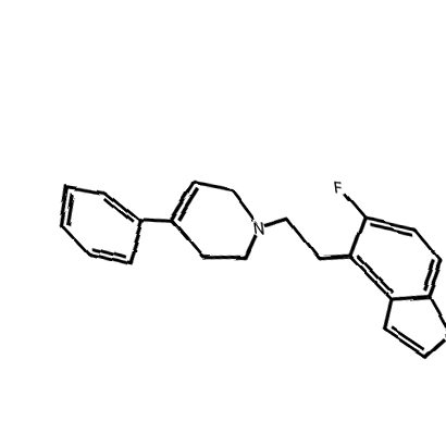 Fc1ccc2[nH]ccc2c1CCN1CC=C(c2ccccc2)CC1